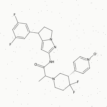 CC(C(=O)Nc1cc2n(n1)CCC2c1cc(F)cc(F)c1)N1CCC(F)(F)[C@@H](c2cc[n+]([O-])cc2)C1